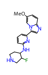 COc1ccc2ncc(-c3cccc(NC4CCNCC4F)n3)n2c1